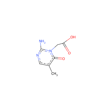 Cc1cnc(N)n(CC(=O)O)c1=O